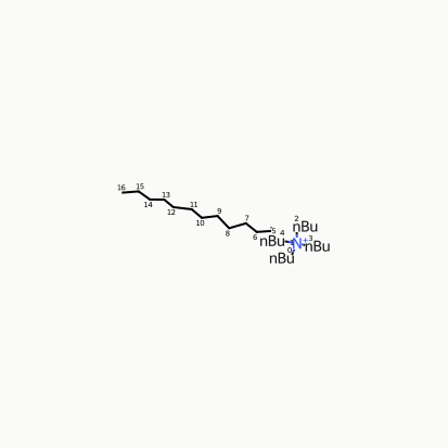 CCCC[N+](CCCC)(CCCC)CCCC.[CH2]CCCCCCCCCCC